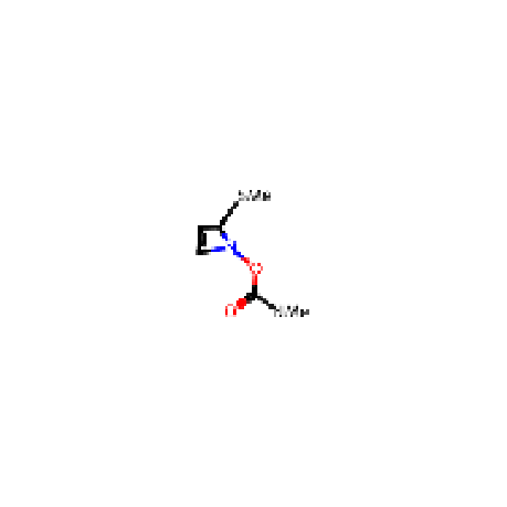 CNC(=O)ON1C=CC1SC